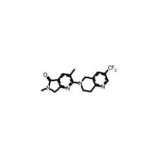 Cc1cc2c(nc1N1CCc3ncc(C(F)(F)F)cc3C1)CN(C)C2=O